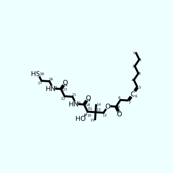 CCCCCC=C=CCC(=O)OCC(C)(C)[C@H](O)C(=O)NCCC(=O)NCCS